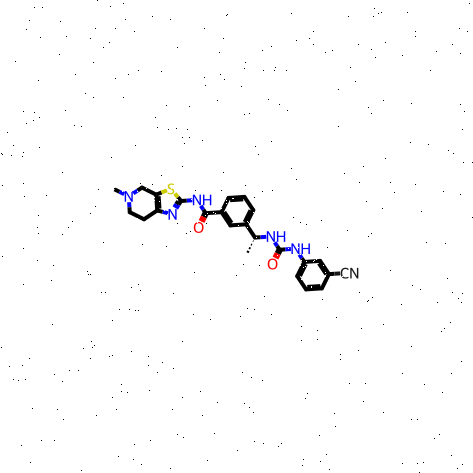 C[C@@H](NC(=O)Nc1cccc(C#N)c1)c1cccc(C(=O)Nc2nc3c(s2)CN(C)CC3)c1